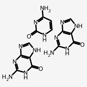 Nc1cc[nH]c(=O)n1.Nc1nc2nc[nH]c2c(=O)[nH]1.Nc1nc2nc[nH]c2c(=O)[nH]1